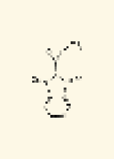 CC1OC1N1C(=O)c2ccccc2C1=O